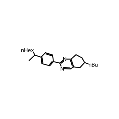 CCCCCCC(C)c1ccc(-c2ncc3c(n2)CCC(CCCC)C3)cc1